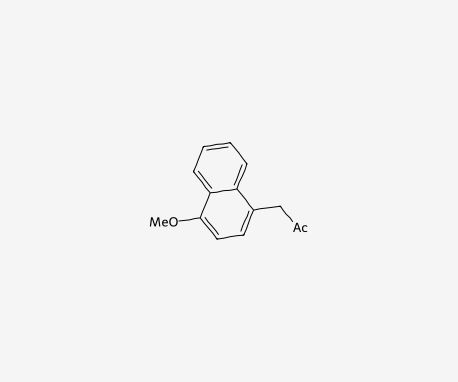 COc1ccc(CC(C)=O)c2ccccc12